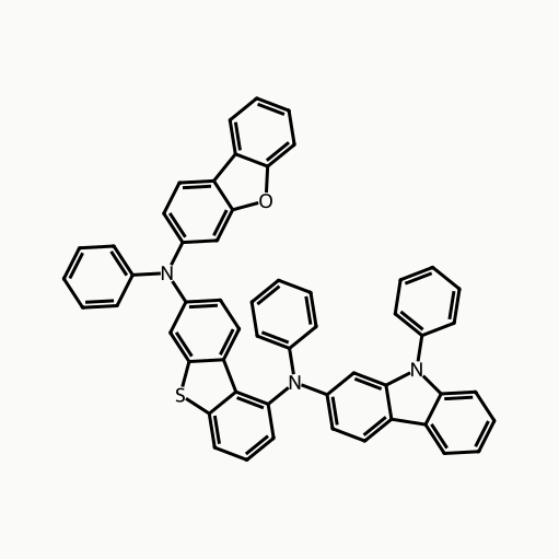 c1ccc(N(c2ccc3c(c2)oc2ccccc23)c2ccc3c(c2)sc2cccc(N(c4ccccc4)c4ccc5c6ccccc6n(-c6ccccc6)c5c4)c23)cc1